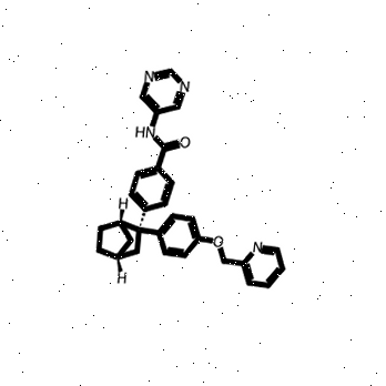 O=C(Nc1cncnc1)c1ccc([C@]2(c3ccc(OCc4ccccn4)cc3)C[C@@H]3CC[C@H]2C3)cc1